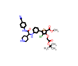 COC(=O)c1sc(-c2cccc(NC(C(=O)Nc3ccc(C#N)cc3)C3CCNCC3)c2)c(Br)c1OCC(=O)OC(C)(C)C